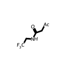 CC(=O)CC(=O)NCC(F)(F)F